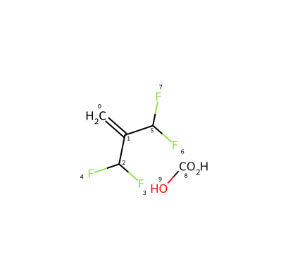 C=C(C(F)F)C(F)F.O=C(O)O